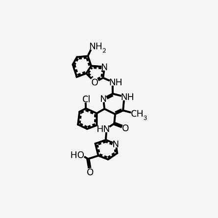 CC1=C(C(=O)Nc2cc(C(=O)O)ccn2)C(c2ccccc2Cl)N=C(Nc2nc3c(N)cccc3o2)N1